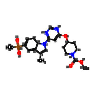 CC1=CN(c2cc(OC3CCN(C(=O)OC(C)(C)C)CC3)ncn2)C2CC=C(S(C)(=O)=O)C=C12